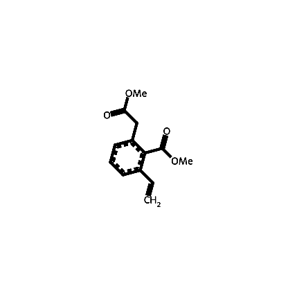 C=Cc1cccc(CC(=O)OC)c1C(=O)OC